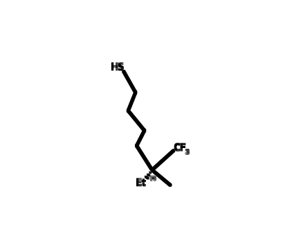 CC[C@](C)(CCCCS)C(F)(F)F